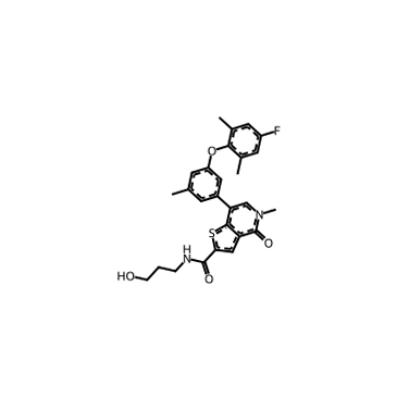 Cc1cc(Oc2c(C)cc(F)cc2C)cc(-c2cn(C)c(=O)c3cc(C(=O)NCCCO)sc23)c1